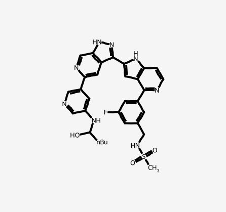 CCCCC(O)Nc1cncc(-c2cc3c(-c4cc5c(-c6cc(F)cc(CNS(C)(=O)=O)c6)nccc5[nH]4)n[nH]c3cn2)c1